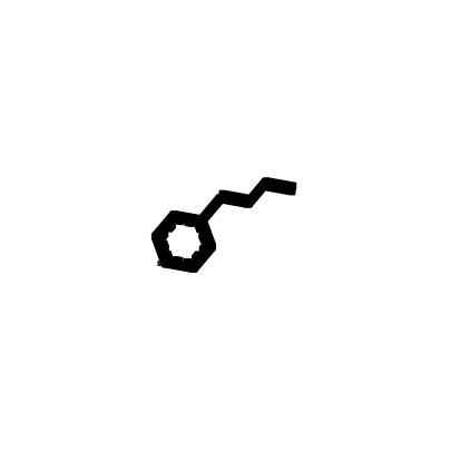 C=C/C=C/c1cc[c]cc1